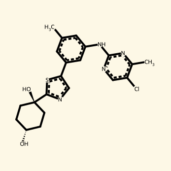 Cc1cc(Nc2ncc(Cl)c(C)n2)cc(-c2cnc([C@]3(O)CC[C@H](O)CC3)s2)c1